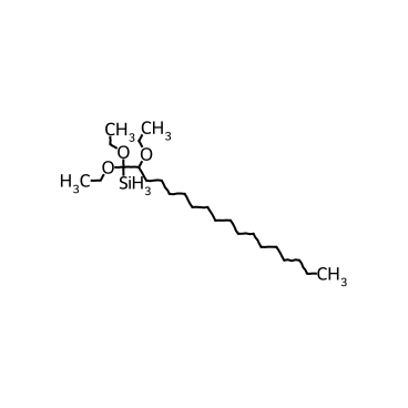 CCCCCCCCCCCCCCCCC(OCC)C([SiH3])(OCC)OCC